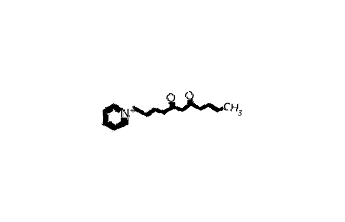 CCCCC(=O)CC(=O)CCCC[n+]1ccccc1